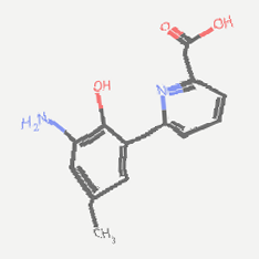 Cc1cc(N)c(O)c(-c2cccc(C(=O)O)n2)c1